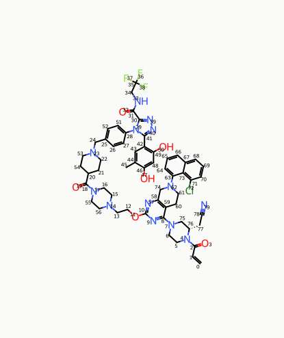 C=CC(=O)N1CCN(c2nc(OCCN3CCN(C(=O)C4CCN(Cc5ccc(-n6c(C(=O)NCC(F)(F)F)nnc6-c6cc(C)c(O)cc6O)cc5)CC4)CC3)nc3c2CCN(c2cccc4cccc(Cl)c24)C3)C[C@@H]1CC#N